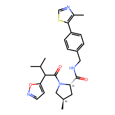 Cc1ncsc1-c1ccc(CNC(=O)[C@@H]2C[C@@H](C)CN2C(=O)C(c2ccno2)C(C)C)cc1